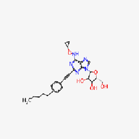 CCCCCc1ccc(C#Cc2nc(NOC3CC3)c3ncn([C@@H]4O[C@H](CO)[C@@H](O)[C@H]4O)c3n2)cc1